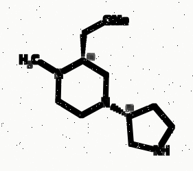 COC[C@@H]1CN([C@@H]2CCNC2)CCN1C